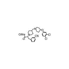 COC(=O)C(Cc1cccc(C#N)c1)N1CCC(CN2CCC(Oc3ccc(Cl)c(Cl)c3)CC2)CC1